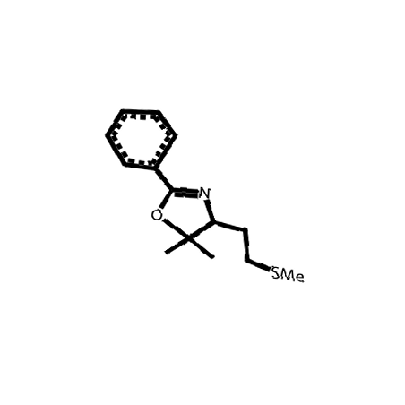 CSCCC1N=C(c2ccccc2)OC1(C)C